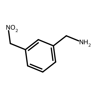 NCc1cccc(C[N+](=O)[O-])c1